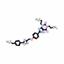 CCCn1c(=O)c2[nH]c(-c3ccc(OCc4noc(-c5ccc(CC)cc5)n4)cc3)nc2n(CCC)c1=O